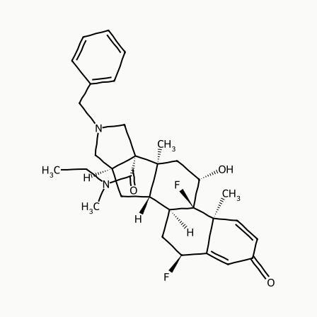 CCN(C)C(=O)[C@@]12CN(Cc3ccccc3)C[C@@H]1C[C@H]1[C@@H]3C[C@H](F)C4=CC(=O)C=C[C@]4(C)[C@@]3(F)[C@@H](O)C[C@@]12C